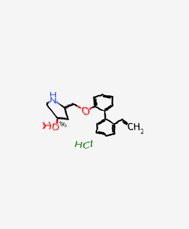 C=Cc1ccccc1-c1ccccc1OCC1C[C@@H](O)CN1.Cl